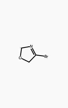 BrC1=N[CH]OC1